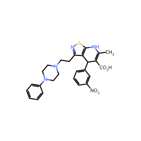 CC1=C(C(=O)O)C(c2cccc([N+](=O)[O-])c2)c2c(CCN3CCN(c4ccccc4)CC3)nsc2N1